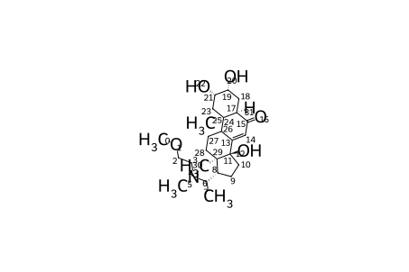 COCCN(C)C(C)[C@H]1CC[C@@]2(O)C3=CC(=O)[C@@H]4C[C@@H](O)[C@@H](O)C[C@]4(C)C3CC[C@]12C